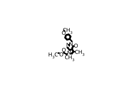 CCOC(=O)C(C)n1cc(C)c2c(=O)n(Cc3ccc(OC)cc3)ncc21